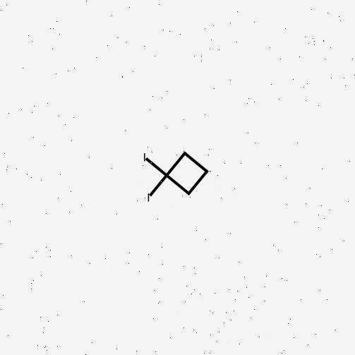 IC1(I)C[CH]C1